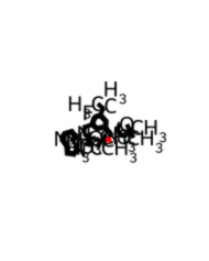 CC(C)c1cc(N(C)C2COC(C)(C)O2)cc(CN(C(=O)OC(C)(C)C)c2ccnc3ccnn23)c1F